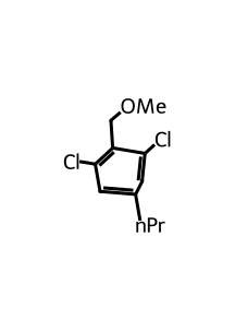 CCCc1cc(Cl)c(COC)c(Cl)c1